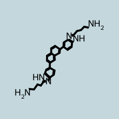 NCCCCc1nc2cc(-c3ccc4ccc(-c5ccc6nc(CCCCN)[nH]c6c5)cc4c3)ccc2[nH]1